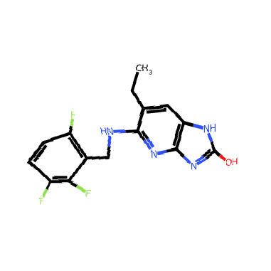 CCc1cc2[nH]c(O)nc2nc1NCc1c(F)ccc(F)c1F